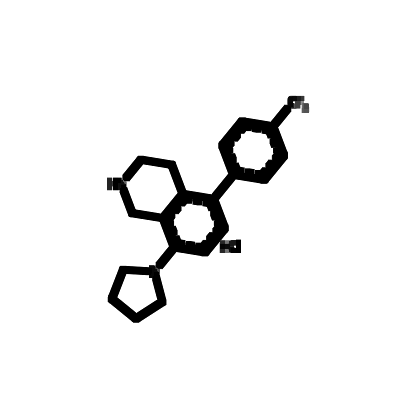 Cl.FC(F)(F)c1ccc(-c2ccc(N3CCCC3)c3c2CCNC3)cc1